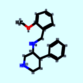 COc1ccccc1CNC1CNCCC1c1ccccc1